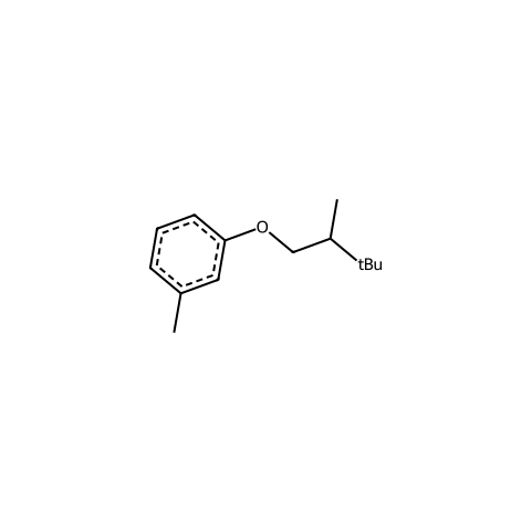 Cc1cccc(OCC(C)C(C)(C)C)c1